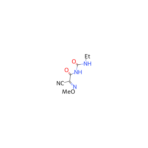 [CH2]CNC(=O)NC(=O)C(C#N)=NOC